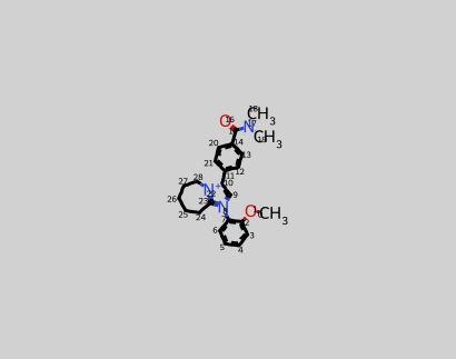 COc1ccccc1-n1cc(-c2ccc(C(=O)N(C)C)cc2)[n+]2c1CCCCC2